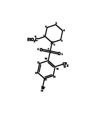 CCOC(=O)C1CCCCN1S(=O)(=O)c1ccc(Br)cc1C(F)(F)F